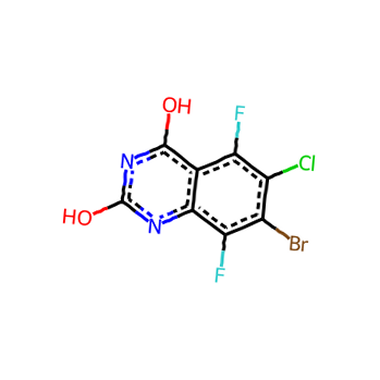 Oc1nc(O)c2c(F)c(Cl)c(Br)c(F)c2n1